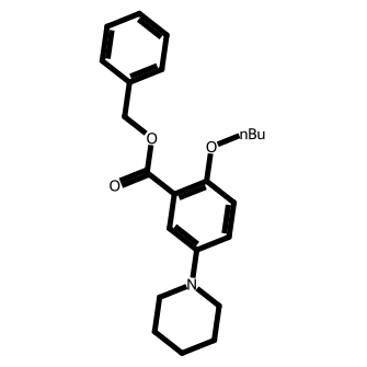 CCCCOc1ccc(N2CCCCC2)cc1C(=O)OCc1ccccc1